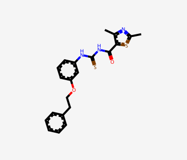 Cc1nc(C)c(C(=O)NC(=S)Nc2cccc(OCCc3ccccc3)c2)s1